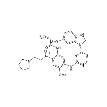 C=CC(=O)Nc1cc(Nc2nccc(-n3cnc4ccc(OC)cc43)n2)c(OC)cc1N(C)CCN1CCCC1